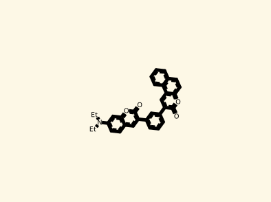 CCN(CC)c1ccc2cc(-c3cccc(-c4cc5c(ccc6ccccc65)oc4=O)c3)c(=O)oc2c1